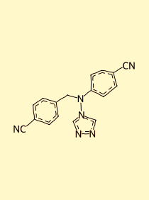 N#Cc1ccc(CN(c2ccc(C#N)cc2)n2cnnc2)cc1